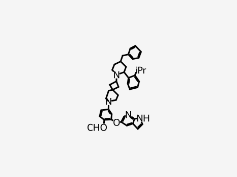 CC(C)c1ccccc1C1CC(Cc2ccccc2)CCN1C1CC2(CCN(c3ccc(C=O)c(Oc4cnc5[nH]ccc5c4)c3)CC2)C1